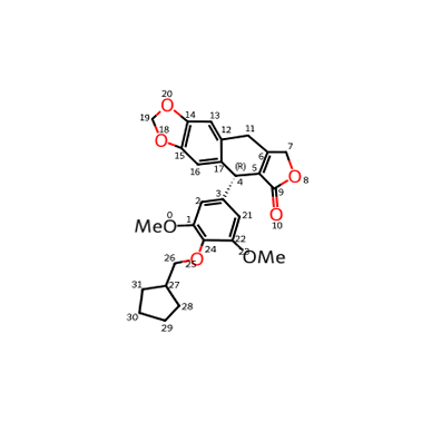 COc1cc([C@H]2C3=C(COC3=O)Cc3cc4c(cc32)OCO4)cc(OC)c1OCC1CCCC1